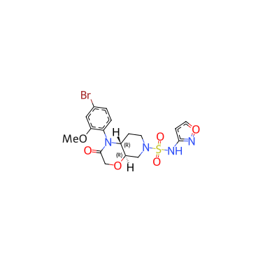 COc1cc(Br)ccc1N1C(=O)CO[C@@H]2CN(S(=O)(=O)Nc3ccon3)CC[C@H]21